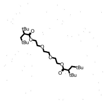 CC(C)(C)CC(C(=O)OCCOCCOCCOC(=O)C(CC(C)(C)C)C(C)(C)C)C(C)(C)C